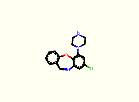 Clc1cc2c(c(N3CCNCC3)c1)Oc1ccccc1C=N2